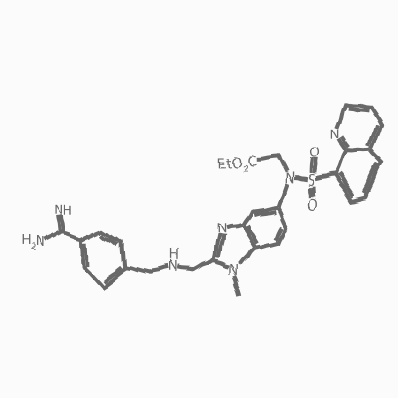 CCOC(=O)CN(c1ccc2c(c1)nc(CNCc1ccc(C(=N)N)cc1)n2C)S(=O)(=O)c1cccc2cccnc12